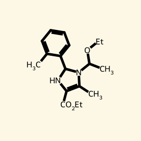 CCOC(=O)C1=C(C)N(C(C)OCC)C(c2ccccc2C)N1